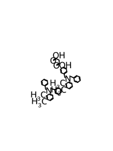 Cc1cccc(N(Cc2ccccc2)Cc2ccccc2)c1C.Cc1cccc(N(Cc2ccccc2)Cc2ccccc2)c1C.O=C(O)CC(=O)O